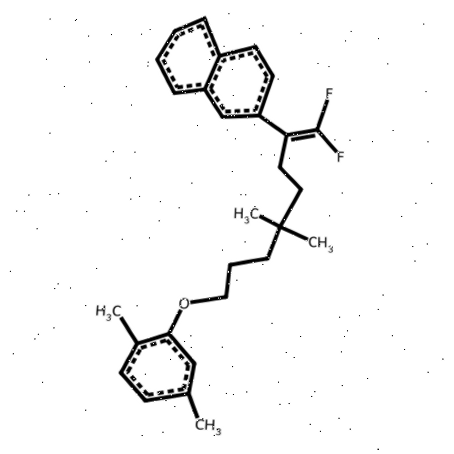 Cc1ccc(C)c(OCCCC(C)(C)CCC(=C(F)F)c2ccc3ccccc3c2)c1